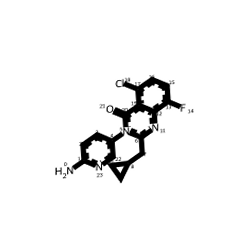 Nc1ccc(-n2c(CC3CC3)nc3c(F)ccc(Cl)c3c2=O)cn1